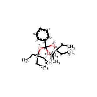 CC[Si](CC)(CC)OC(O[SiH3])(O[Si](CC)(CC)CC)c1ccccc1